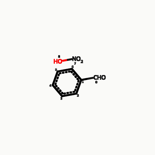 O=Cc1ccccc1.O=[N+]([O-])O